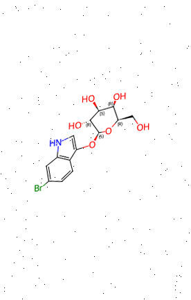 OC[C@H]1O[C@@H](Oc2c[nH]c3cc(Br)ccc23)[C@H](O)[C@@H](O)[C@H]1O